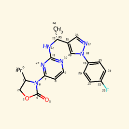 CC(C)C1COC(=O)N1c1ccnc(N[C@H](C)c2cnn(-c3ccc(F)cc3)c2)n1